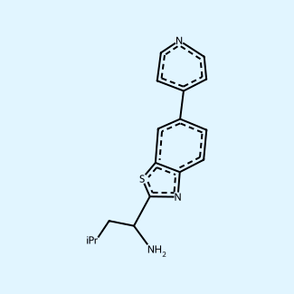 CC(C)CC(N)c1nc2ccc(-c3ccncc3)cc2s1